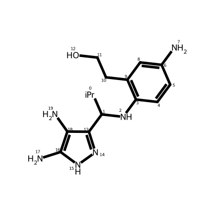 CC(C)C(Nc1ccc(N)cc1CCO)c1n[nH]c(N)c1N